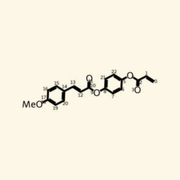 C=CC(=O)Oc1ccc(OC(=O)/C=C/c2ccc(OC)cc2)cc1